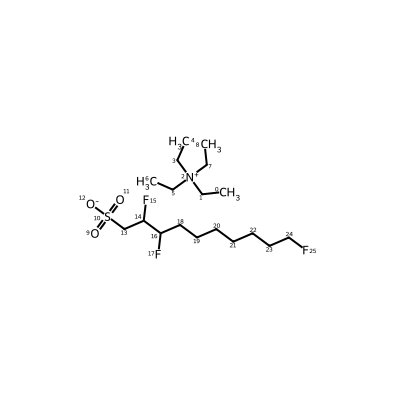 CC[N+](CC)(CC)CC.O=S(=O)([O-])CC(F)C(F)CCCCCCCF